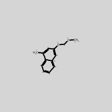 COCOc1cc(C)c2ccccc2c1